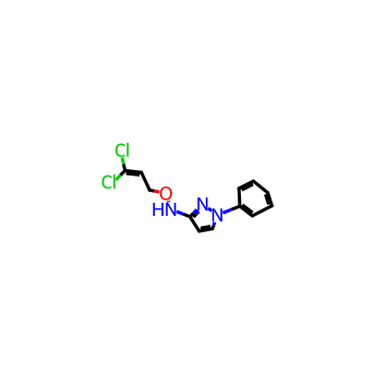 ClC(Cl)=CCONc1ccn(-c2ccccc2)n1